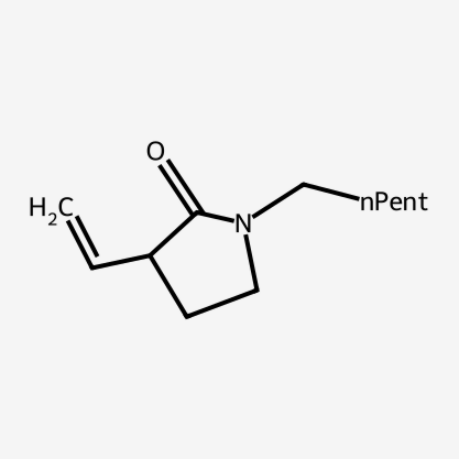 C=CC1CCN(CCCCCC)C1=O